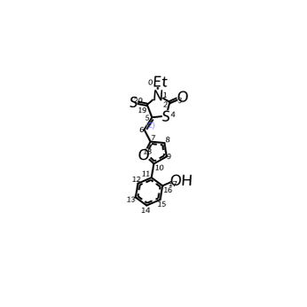 CCN1C(=O)S/C(=C\c2ccc(-c3ccccc3O)o2)C1=S